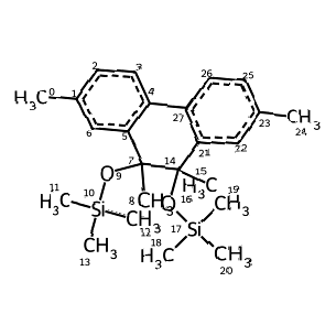 Cc1ccc2c(c1)C(C)(O[Si](C)(C)C)C(C)(O[Si](C)(C)C)c1cc(C)ccc1-2